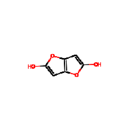 Oc1cc2oc(O)cc2o1